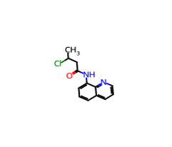 CC(Cl)CC(=O)Nc1cccc2cccnc12